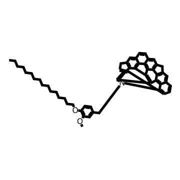 CCCCCCCCCCCCCCCCOc1ccc(Cn2c3c4ccc5cc6c7c8c(cc9ccc%10cc%11c%12c(c(c4)C%11)c2c(c7c53)c2c8c9c%10c%122)C6)cc1OC